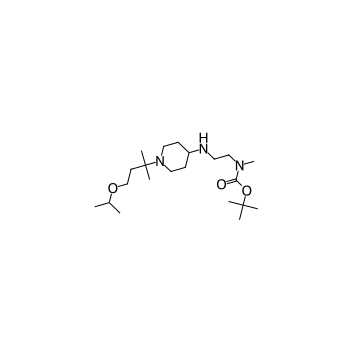 CC(C)OCCC(C)(C)N1CCC(NCCN(C)C(=O)OC(C)(C)C)CC1